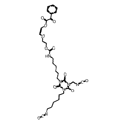 O=C=NCCCCCCn1c(=O)n(CCCCCCNC(=O)OCCO/C=C\OC(=O)C(=O)c2ccccc2)c(=O)n(CN=C=O)c1=O